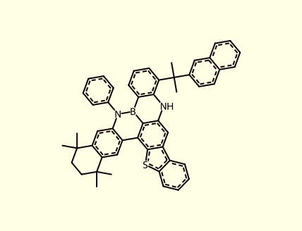 CC1(C)CCC(C)(C)c2cc3c(cc21)-c1c2c(cc4c1sc1ccccc14)Nc1c(cccc1C(C)(C)c1ccc4ccccc4c1)B2N3c1ccccc1